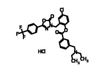 CCN(CC)Cc1cccc(C(=O)Oc2ccc(Cl)cc2Cn2nc(-c3ccc(C(F)(F)F)cc3)oc2=O)c1.Cl